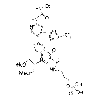 CCNC(=O)Nc1cc(-c2nc(C(F)(F)F)cs2)c(-c2ccc3c(c2)c(=O)c(C(=O)NCCCOP(=O)(O)O)cn3C(COC)COC)cn1